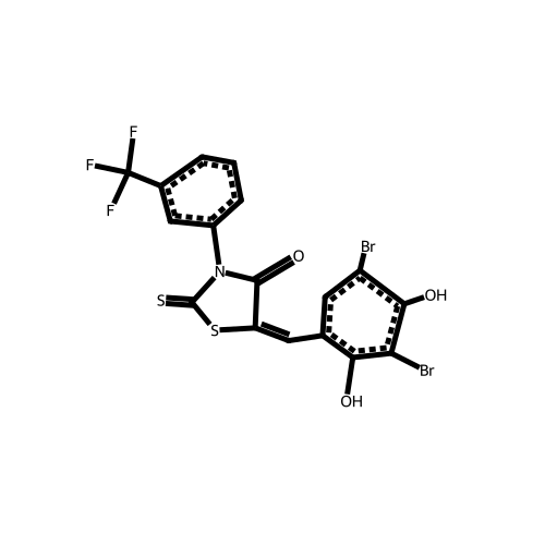 O=C1/C(=C\c2cc(Br)c(O)c(Br)c2O)SC(=S)N1c1cccc(C(F)(F)F)c1